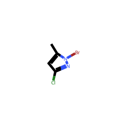 Cc1cc(Cl)nn1Br